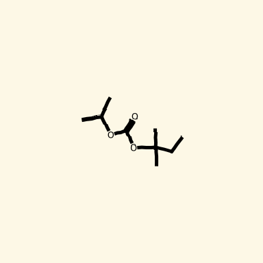 CCC(C)(C)OC(=O)OC(C)C